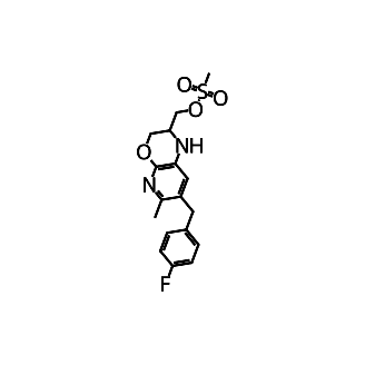 Cc1nc2c(cc1Cc1ccc(F)cc1)NC(COS(C)(=O)=O)CO2